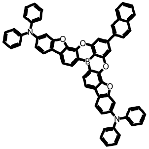 c1ccc(N(c2ccccc2)c2ccc3c(c2)oc2c4c(ccc23)B2c3ccc5c(oc6cc(N(c7ccccc7)c7ccccc7)ccc65)c3Oc3cc(-c5ccc6ccccc6c5)cc(c32)O4)cc1